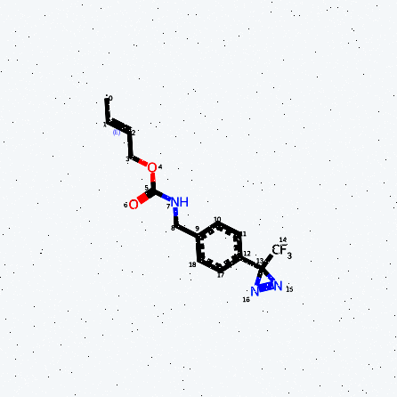 [CH2]/C=C/COC(=O)NCc1ccc(C2(C(F)(F)F)N=N2)cc1